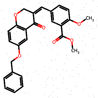 COC(=O)c1cc(C=C2COc3ccc(OCc4ccccc4)cc3C2=O)ccc1OC